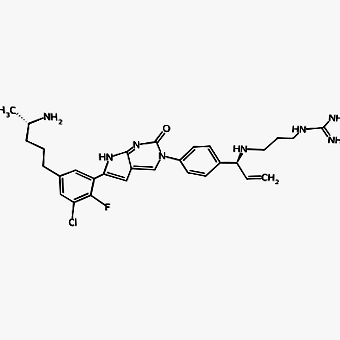 C=C[C@H](NCCCNC(=N)N)c1ccc(-n2cc3cc(-c4cc(CCC[C@H](C)N)cc(Cl)c4F)[nH]c3nc2=O)cc1